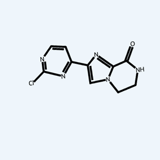 O=C1NCCn2cc(-c3ccnc(Cl)n3)nc21